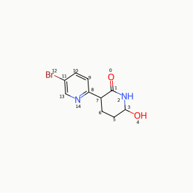 O=C1NC(O)CCC1c1ccc(Br)cn1